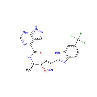 C[C@@H](NC(=O)c1ncnc2[nH]ncc12)c1cc(-c2nc3ccc(C(F)(F)F)cc3[nH]2)no1